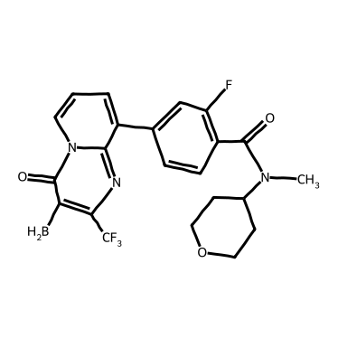 Bc1c(C(F)(F)F)nc2c(-c3ccc(C(=O)N(C)C4CCOCC4)c(F)c3)cccn2c1=O